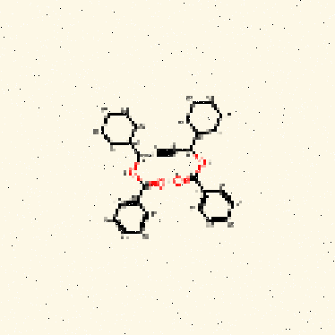 O=C(O[C@@H](C#C[C@H](OC(=O)c1ccccc1)C1CCCCC1)C1CCCCC1)c1ccccc1